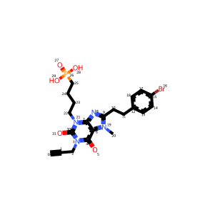 C#CCn1c(=O)c2c(nc(CCc3ccc(Br)cc3)n2C)n(CCCCP(=O)(O)O)c1=O